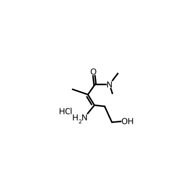 CC(C(=O)N(C)C)=C(N)CCO.Cl